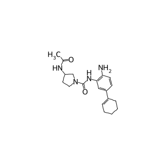 CC(=O)NC1CCN(C(=O)Nc2cc(C3=CCCCC3)ccc2N)C1